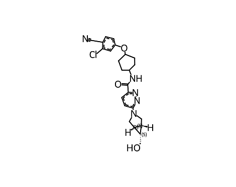 N#Cc1ccc(OC2CCC(NC(=O)c3ccc(N4C[C@@H]5[C@H](CO)[C@@H]5C4)nn3)CC2)cc1Cl